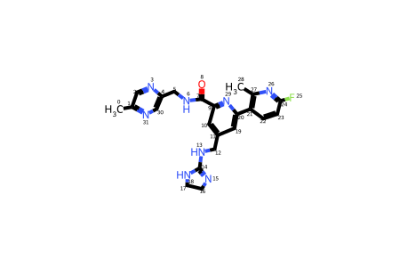 Cc1cnc(CNC(=O)c2cc(CNC3=NCCN3)cc(-c3ccc(F)nc3C)n2)cn1